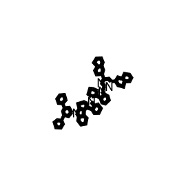 c1ccc(-c2cc(-c3ccccc3)cc(-n3c4ccccc4c4c5c6ccccc6n(-c6cccc7c6c6ccccc6n7-c6nc(-c7ccc8ccccc8c7)cc(-c7ccc8ccccc8c7)n6)c5ccc43)c2)cc1